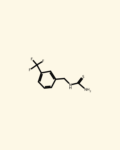 NC(=S)NCc1cccc(C(F)(F)F)c1